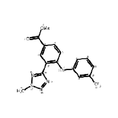 COC(=O)c1ccc(Nc2cccc(C(F)(F)F)c2)c(-c2nnn(C)n2)c1